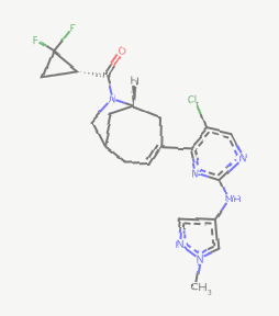 Cn1cc(Nc2ncc(Cl)c(C3=CCC4C[C@@H](C3)N(C(=O)[C@@H]3CC3(F)F)C4)n2)cn1